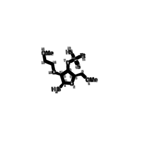 B[C@@H]1O[C@H](COC)C(OP(=S)(S)CC)[C@@H]1OCCOC